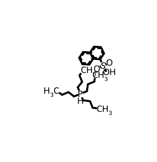 CCCC[PH](CCCC)(CCCC)CCCC.O=S(=O)(O)c1cccc2ccccc12